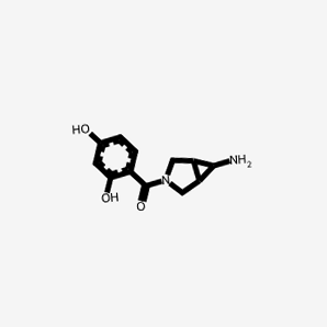 NC1C2CN(C(=O)c3ccc(O)cc3O)CC12